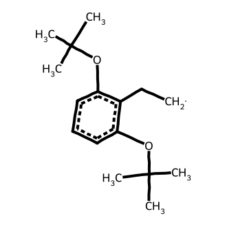 [CH2]Cc1c(OC(C)(C)C)cccc1OC(C)(C)C